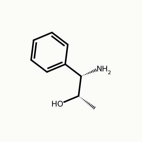 C[C@H](O)[C@@H](N)c1ccccc1